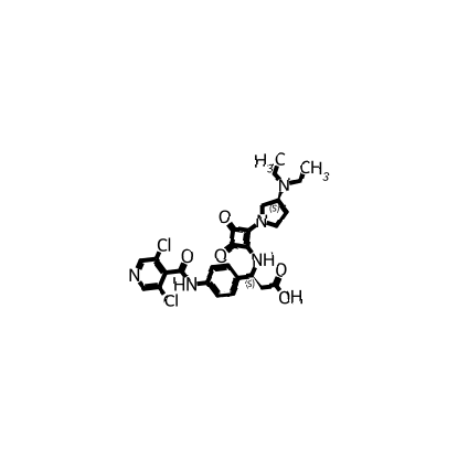 CCN(CC)[C@H]1CCN(c2c(N[C@@H](CC(=O)O)c3ccc(NC(=O)c4c(Cl)cncc4Cl)cc3)c(=O)c2=O)C1